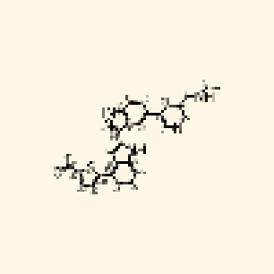 CCNCc1cncc(-c2ccc3[nH]nc(-c4cc5c(-c6ccc(C(C)=O)s6)cccc5[nH]4)c3c2)c1